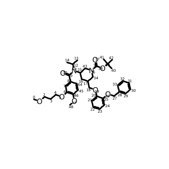 COCCCOc1cc(C(=O)N(C(C)C)C2CC(COc3ccccc3OCc3ccccc3)CN(C(=O)OC(C)(C)C)C2)ccc1OC